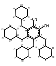 N#Cc1c(C#N)c(CC2CCCCC2)c(CC2CCCCC2)c(CC2CCCCC2)c1CC1CCCCC1